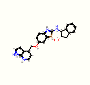 O[C@H]1Cc2ccccc2C1Nc1nc2ccc(OCc3ccnc4[nH]ccc34)cc2s1